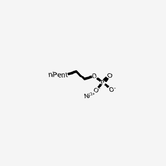 CCCCCCCOP(=O)([O-])[O-].[Ni+2]